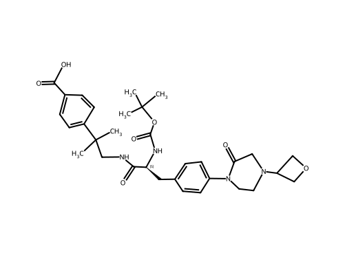 CC(C)(C)OC(=O)N[C@@H](Cc1ccc(N2CCN(C3COC3)CC2=O)cc1)C(=O)NCC(C)(C)c1ccc(C(=O)O)cc1